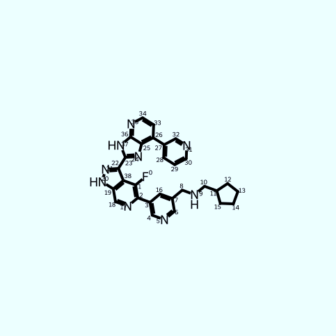 Fc1c(-c2cncc(CNCC3CCCC3)c2)ncc2[nH]nc(-c3nc4c(-c5cccnc5)ccnc4[nH]3)c12